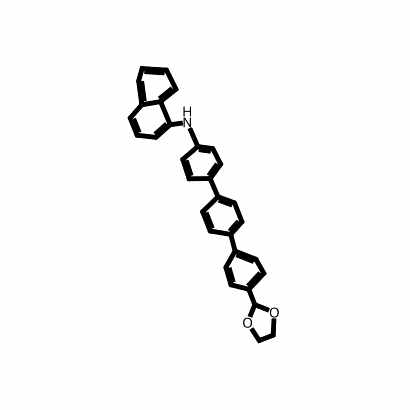 c1ccc2c(Nc3ccc(-c4ccc(-c5ccc(C6OCCO6)cc5)cc4)cc3)cccc2c1